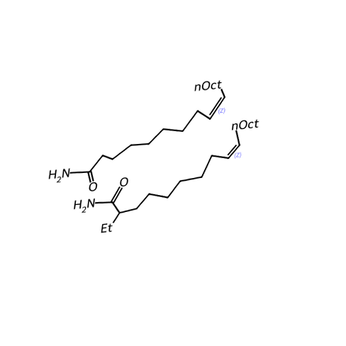 CCCCCCCC/C=C\CCCCCCC(CC)C(N)=O.CCCCCCCC/C=C\CCCCCCCC(N)=O